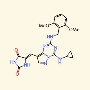 COc1cccc(OC)c1CNc1nc(NC2CC2)n2ncc(/C=C3\NC(=O)NC3=O)c2n1